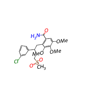 COc1cc(C(N)=O)c(CC(CCS(C)(=O)=O)c2cccc(Cl)c2)c(OC)c1OC